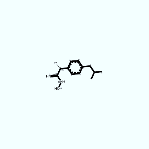 CC(C)Cc1ccc([C@@H](C)C(=N)NO)cc1